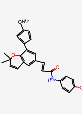 COc1ccc(-c2cc(C=CC(=O)Nc3ccc(O)cc3)cc3c2OC(C)(C)C=C3)cc1